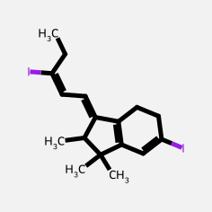 CC/C(I)=C\C=C1\C2=C(C=C(I)CC2)C(C)(C)C1C